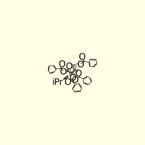 CC(C)C#C[C@]1(OC(=O)c2ccccc2)[C@@H](OC(=O)c2ccccc2)O[C@H](COC(=O)c2ccccc2)[C@H]1OC(=O)c1ccccc1